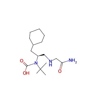 CC(C)(C)N(C(=O)O)[C@H](CNCC(N)=O)CC1CCCCC1